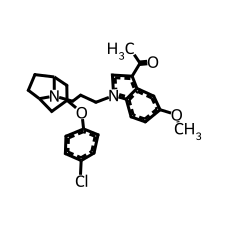 COc1ccc2c(c1)c(C(C)=O)cn2CCCN1C2CCC1CC(Oc1ccc(Cl)cc1)C2